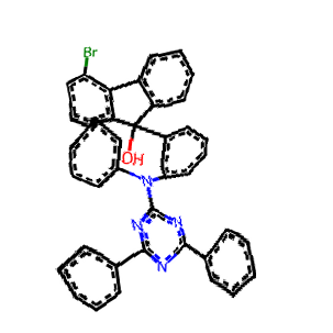 OC1(c2ccccc2N(c2ccccc2)c2nc(-c3ccccc3)nc(-c3ccccc3)n2)c2ccccc2-c2c(Br)cccc21